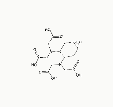 O.O=C(O)CN(CC(=O)O)C1CCCCC1N(CC(=O)O)CC(=O)O